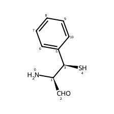 N[C@H](C=O)[C@H](S)c1ccccc1